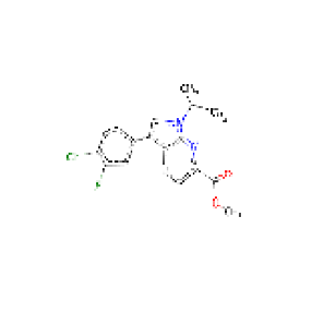 COC(=O)c1ccc2c(-c3ccc(Cl)c(F)c3)cn(C(C)C)c2n1